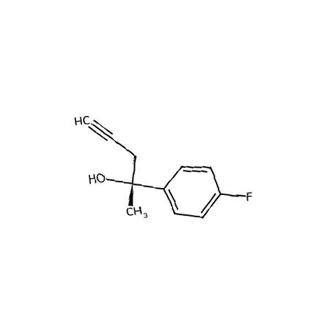 C#CC[C@@](C)(O)c1ccc(F)cc1